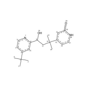 CC(C)(C)c1ccnc(C(O)CC(C)(C)c2cc[nH]c(=O)c2)c1